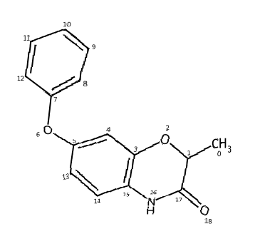 CC1Oc2cc(Oc3ccccc3)ccc2NC1=O